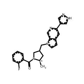 C[C@@H]1CC(Cn2ccc3cc(-c4cn[nH]c4)ncc32)CN1C(=O)c1ccccc1F